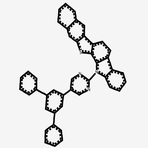 c1ccc(-c2cc(-c3ccccc3)cc(-c3cnc(-n4c5ccccc5c5ccc6c7cc8ccccc8cc7sc6c54)nc3)c2)cc1